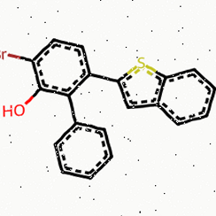 Oc1c(Br)ccc(-c2cc3ccccc3s2)c1-c1ccccc1